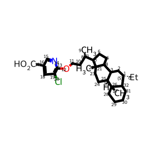 CC[C@H]1CC2C3CCC([C@H](C)CCOc4ncc(C(=O)O)cc4Cl)C3(C)CC[C@@H]2C2(C)CCCCC12